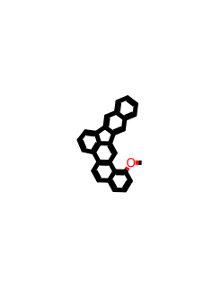 COc1cccc2ccc3c4cccc5c4c(cc3c12)-c1cc2ccccc2cc1-5